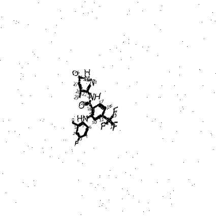 Cc1cc(F)ccc1Nc1cc(C(F)(F)F)ccc1C(=O)Nc1n[nH]c(=O)cc1C